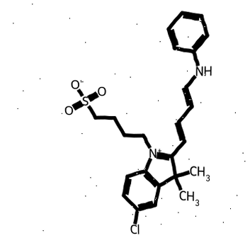 CC1(C)C(/C=C/C=C/Nc2ccccc2)=[N+](CCCCS(=O)(=O)[O-])c2ccc(Cl)cc21